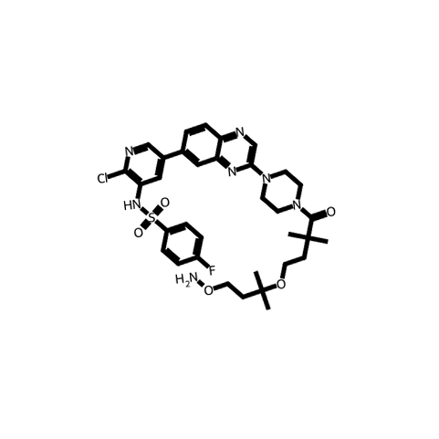 CC(C)(CCON)OCCC(C)(C)C(=O)N1CCN(c2cnc3ccc(-c4cnc(Cl)c(NS(=O)(=O)c5ccc(F)cc5)c4)cc3n2)CC1